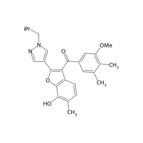 COc1cc(C(=O)c2c(-c3cnn(CC(C)C)c3)oc3c(O)c(C)ccc23)cc(C)c1C